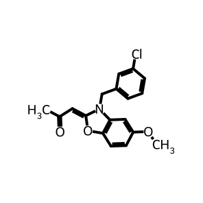 COc1ccc2c(c1)N(Cc1cccc(Cl)c1)/C(=C/C(C)=O)O2